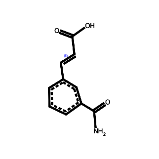 NC(=O)c1cccc(/C=C/C(=O)O)c1